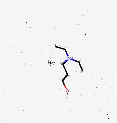 CCN(CC)CCC[O-].[Na+]